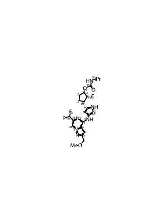 COCc1cc2c(Nc3cc([C@@H]4CC[C@H](OC(=O)NC(C)C)[C@@H]4F)[nH]n3)nc(C(F)F)cn2n1